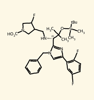 CC(C)(O[Si](C)(C)C(C)(C)C)[C@@H](NCC1CN(C(=O)O)CC1F)c1nc(-c2cc(F)ccc2F)cn1Cc1ccccc1